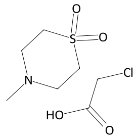 CN1CCS(=O)(=O)CC1.O=C(O)CCl